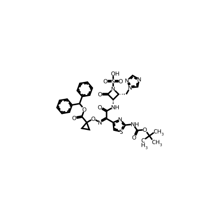 CC(C)(C)OC(=O)Nc1nc(C(=NOC2(C(=O)OC(c3ccccc3)c3ccccc3)CC2)C(=O)N[C@@H]2C(=O)N(S(=O)(=O)O)[C@@H]2Cn2cncn2)cs1